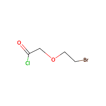 O=C(Cl)COCCBr